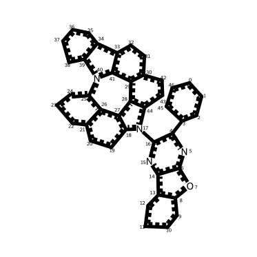 c1ccc(-c2nc3oc4ccccc4c3nc2-n2c3ccc4cccc5c4c3c3c4c(ccc6c7ccccc7n5c64)ccc32)cc1